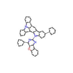 c1ccc(-c2ccc3c(c2)c2cc4c5ccccc5n5c6ccccc6c(c2n3-c2nc(-c3ccccc3)c3oc6ccccc6c3n2)c45)cc1